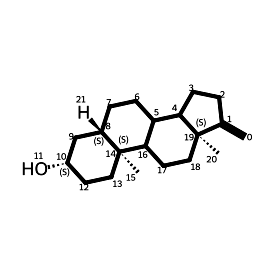 C=C1CCC2C3CC[C@H]4C[C@@H](O)CC[C@]4(C)C3CC[C@]12C